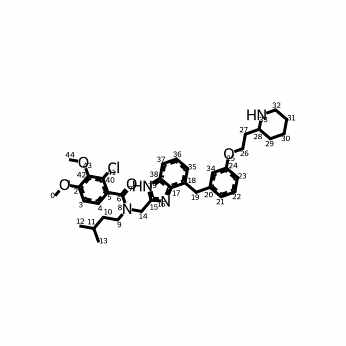 COc1ccc(C(=O)N(CCC(C)C)Cc2nc3c(Cc4cccc(OCCC5CCCCN5)c4)cccc3[nH]2)c(Cl)c1OC